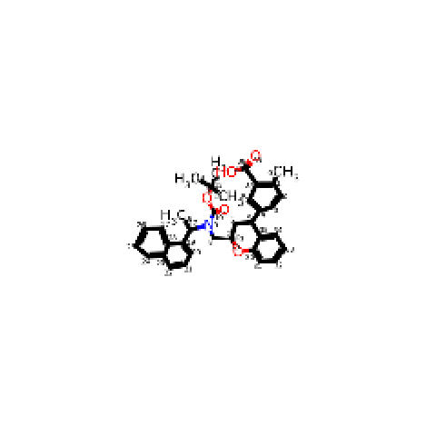 Cc1ccc(C2C[C@H](CN(C(=O)OC(C)(C)C)C(C)c3cccc4ccccc34)Oc3ccccc32)cc1C(=O)O